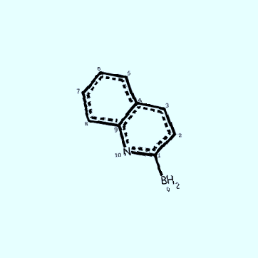 Bc1ccc2ccccc2n1